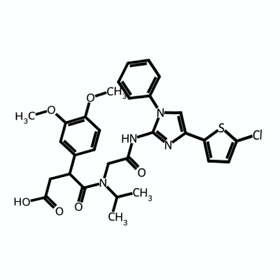 COc1ccc(C(CC(=O)O)C(=O)N(CC(=O)Nc2nc(-c3ccc(Cl)s3)cn2-c2ccccc2)C(C)C)cc1OC